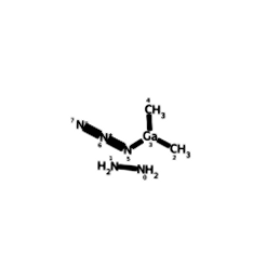 NN.[CH3][Ga]([CH3])[N]=[N+]=[N-]